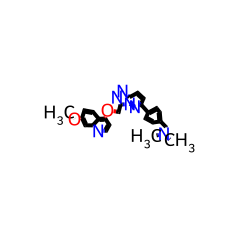 COc1ccc2c(OCc3nnc4ccc(-c5ccc(CN(C)C)cc5)nn34)ccnc2c1